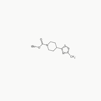 [CH2]c1csc(C2CCN(C(=O)OC(C)(C)C)CC2)n1